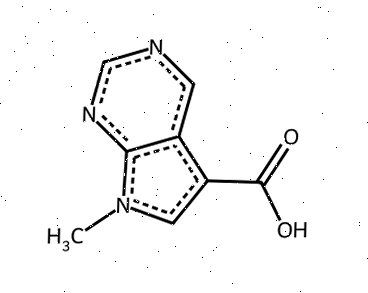 Cn1cc(C(=O)O)c2cncnc21